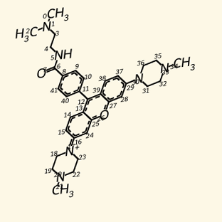 CN(C)CCNC(=O)c1ccc(-c2c3ccc(=[N+]4CCN(C)CC4)cc-3oc3cc(N4CCN(C)CC4)ccc23)cc1